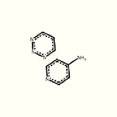 Nc1ccncc1.c1cnnnc1